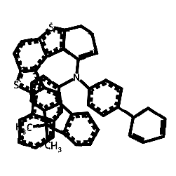 CC1(C)c2ccccc2-c2c(N(C3=CCCc4sc5ccc6sc7c8ccccc8ccc7c6c5c43)c3ccc(C4C=CC=CC4)cc3)cccc21